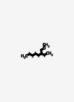 CCCCCC(CC)COC